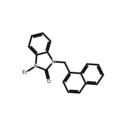 CCn1c(=O)n(Cc2cccc3ccccc23)c2ccccc21